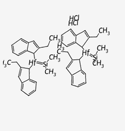 CCC1=Cc2ccccc2[CH]1[Hf]([CH]1C(CC)=Cc2ccccc21)=[Si](C)C.CCC1=Cc2ccccc2[CH]1[Hf]([CH]1C(CC)=Cc2ccccc21)=[Si](C)C.Cl.Cl